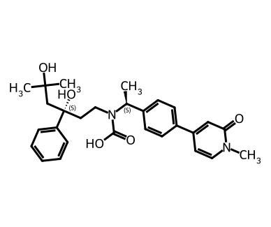 C[C@@H](c1ccc(-c2ccn(C)c(=O)c2)cc1)N(CC[C@](O)(CC(C)(C)O)c1ccccc1)C(=O)O